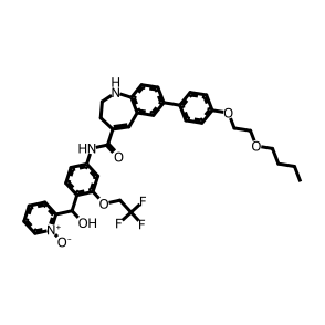 CCCCOCCOc1ccc(-c2ccc3c(c2)C=C(C(=O)Nc2ccc(C(O)c4cccc[n+]4[O-])c(OCC(F)(F)F)c2)CCN3)cc1